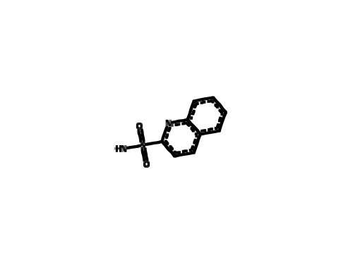 [NH]S(=O)(=O)c1ccc2ccccc2n1